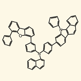 c1ccc(-c2cccc3c2oc2c(-c4cccc(N(c5ccc(-c6ccc7c8ccc9ccccc9c8n(-c8ccccc8)c7c6)cc5)c5cccc6ccccc56)c4)cccc23)cc1